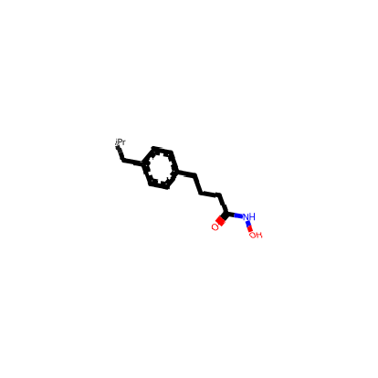 CC(C)Cc1ccc(CCCC(=O)NO)cc1